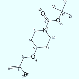 C=C(Br)COC1CCN(C(=O)OC(C)(C)C)CC1